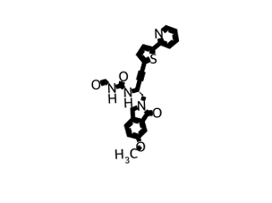 COc1ccc2c(c1)C(=O)N(C[C@@H](C#Cc1ccc(-c3ccccn3)s1)NC(=O)NC=O)C2